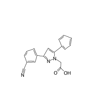 N#Cc1cccc(-c2cc(-c3ccccc3)n(CC(=O)O)n2)c1